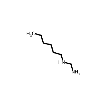 CCCCCCNCN